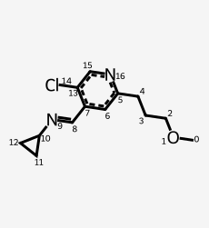 COCCCc1cc(C=NC2CC2)c(Cl)cn1